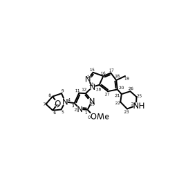 COc1nc(N2CC3CC(C2)O3)cc(-n2ncc3cc(C)c(C4CCNCC4)cc32)n1